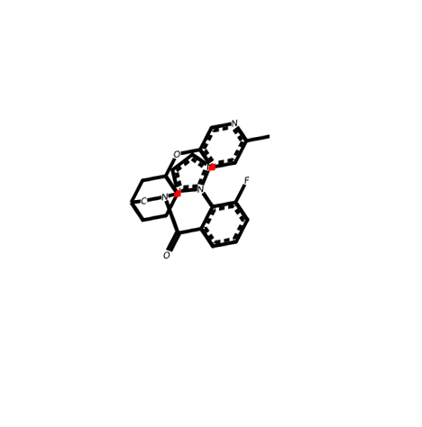 Cc1cnc(OC2CC3CCC2N(C(=O)c2cccc(F)c2-n2nccn2)C3)cn1